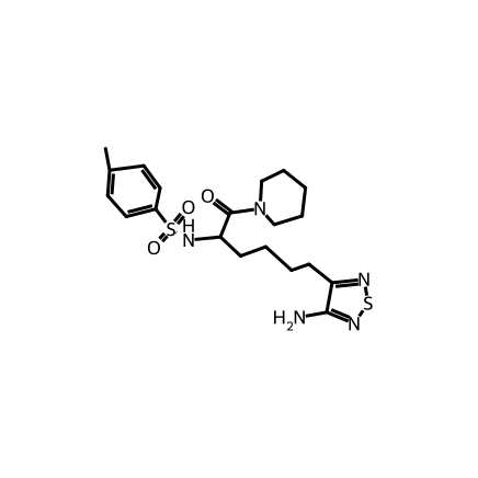 Cc1ccc(S(=O)(=O)NC(CCCCc2nsnc2N)C(=O)N2CCCCC2)cc1